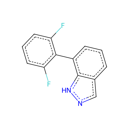 Fc1cccc(F)c1-c1cccc2cn[nH]c12